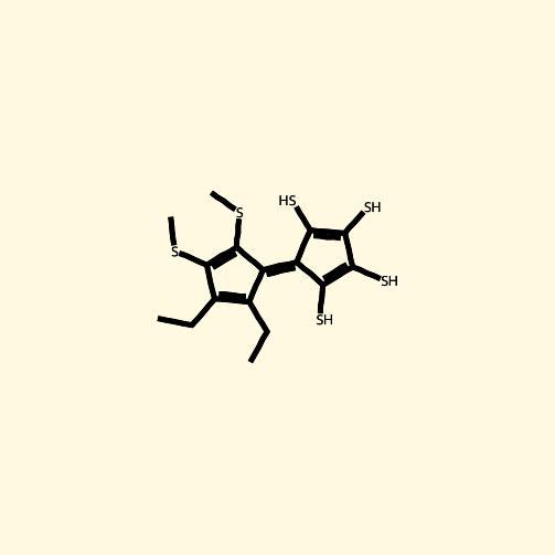 CCC1=C(CC)C(=C2C(S)=C(S)C(S)=C2S)C(SC)=C1SC